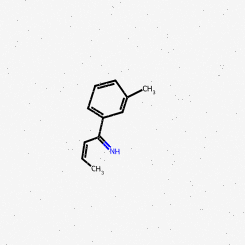 C/C=C\C(=N)c1cccc(C)c1